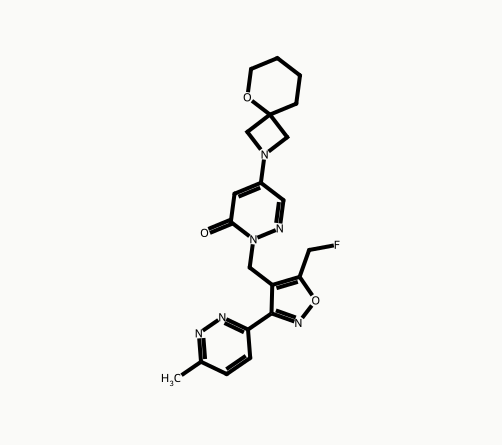 Cc1ccc(-c2noc(CF)c2Cn2ncc(N3CC4(CCCCO4)C3)cc2=O)nn1